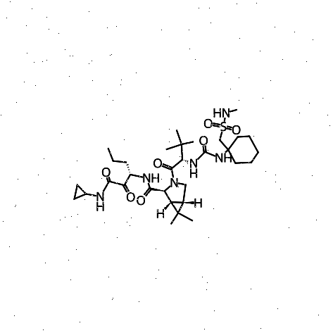 CCC[C@H](NC(=O)[C@@H]1[C@@H]2[C@H](CN1C(=O)[C@@H](NC(=O)NC1(CS(=O)(=O)NC)CCCCC1)C(C)(C)C)C2(C)C)C(=O)C(=O)NC1CC1